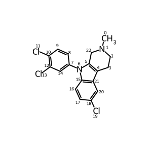 CN1CCc2c(n(-c3ccc(Cl)c(Cl)c3)c3ccc(Cl)cc23)C1